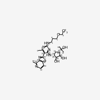 Cc1nc(NCCCOCC(F)(F)F)nc(N[C@@H]2C[C@H](C(C)(C)O)[C@@H](O)[C@H]2O)c1-c1nc2c(C)nccc2s1